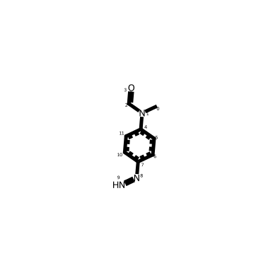 CN(C=O)c1ccc(N=N)cc1